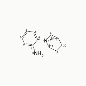 Nc1ccccc1N1CC2CCC1C2